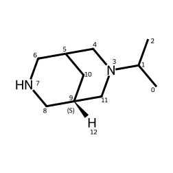 CC(C)N1CC2CNC[C@H](C2)C1